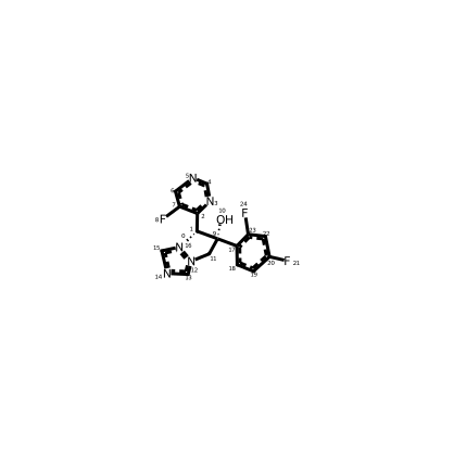 C[C@H](c1ncncc1F)[C@](O)(Cn1cncn1)c1ccc(F)cc1F